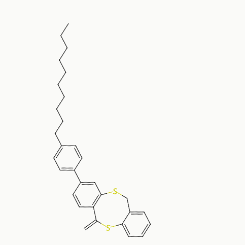 C=C1Sc2ccccc2CSc2cc(-c3ccc(CCCCCCCCCC)cc3)ccc21